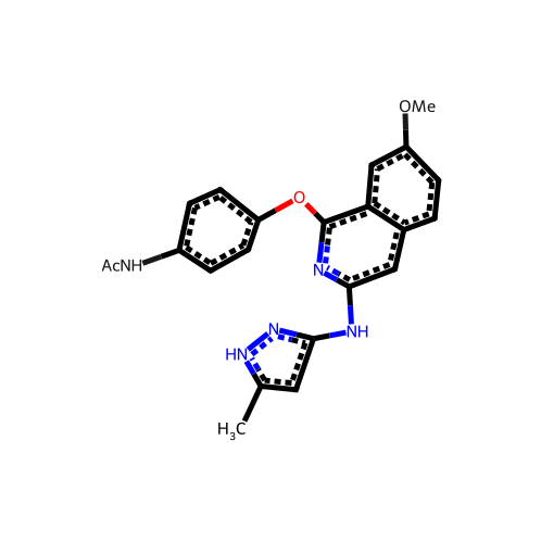 COc1ccc2cc(Nc3cc(C)[nH]n3)nc(Oc3ccc(NC(C)=O)cc3)c2c1